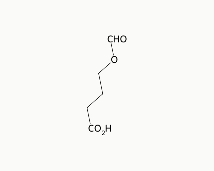 O=COCCCC(=O)O